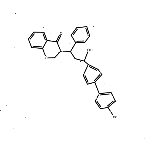 O=C1c2ccccc2OCC1C(CC(O)c1ccc(-c2ccc(Br)cc2)cc1)c1ccccc1